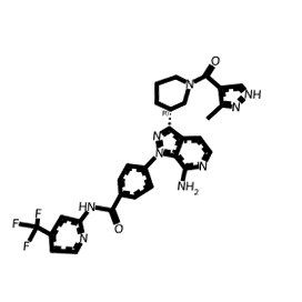 Cc1n[nH]cc1C(=O)N1CCC[C@@H](c2nn(-c3ccc(C(=O)Nc4cc(C(F)(F)F)ccn4)cc3)c3c(N)nccc23)C1